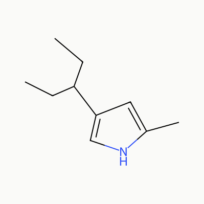 CCC(CC)c1c[nH]c(C)c1